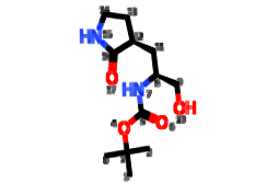 CC(C)(C)OC(=O)N[C@H](CO)C[C@@H]1CCNC1=O